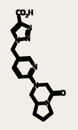 O=C(O)c1cn(Cc2ccc(N3CC(=O)N4CCCC4C3)nc2)nn1